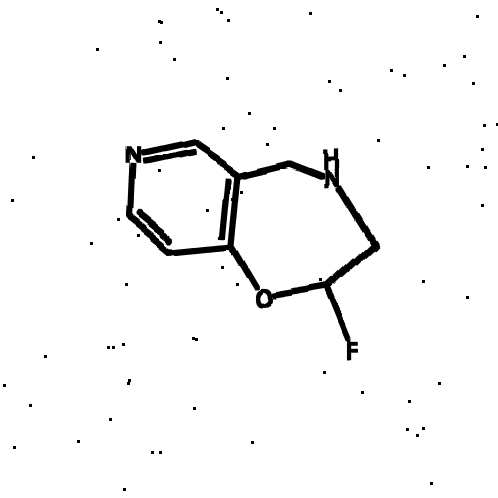 FC1CNCc2cnccc2O1